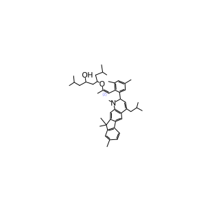 C/C(=C/c1c(C)cc(C)cc1C1C=C(CC(C)C)c2cc3c(cc2N1C)C(C)(C)c1cc(C)ccc1-3)OC(CC(C)C)CC(O)CC(C)C